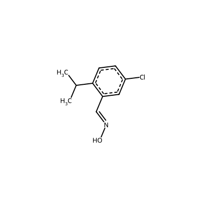 CC(C)c1ccc(Cl)cc1/C=N/O